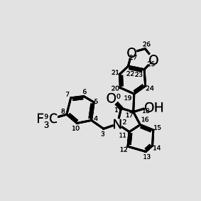 O=C1N(Cc2cccc(C(F)(F)F)c2)c2ccccc2C1(O)c1ccc2c(c1)OCO2